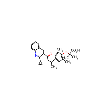 Cc1cc(C(C)CC(=O)c2cc3ccccc3nc2C2CC2)cc(C)c1OC(C)(C)C(=O)O